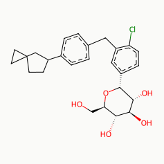 OC[C@H]1O[C@H](c2ccc(Cl)c(Cc3ccc(C4CCC5(CC5)C4)cc3)c2)[C@H](O)[C@@H](O)[C@@H]1O